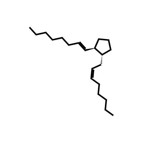 CCCCC/C=C\C[C@H]1CCC[C@@H]1/C=C/CCCCCC